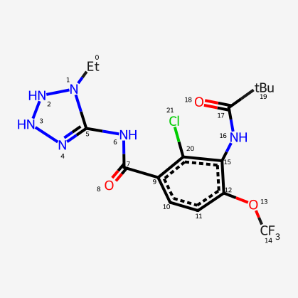 CCN1NNN=C1NC(=O)c1ccc(OC(F)(F)F)c(NC(=O)C(C)(C)C)c1Cl